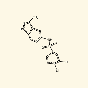 Cc1n[nH]c2ccc(NS(=O)(=O)c3ccc(Cl)c(Cl)c3)cc12